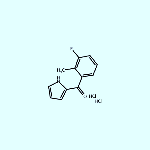 Cc1c(F)cccc1C(=O)c1ccc[nH]1.Cl.Cl